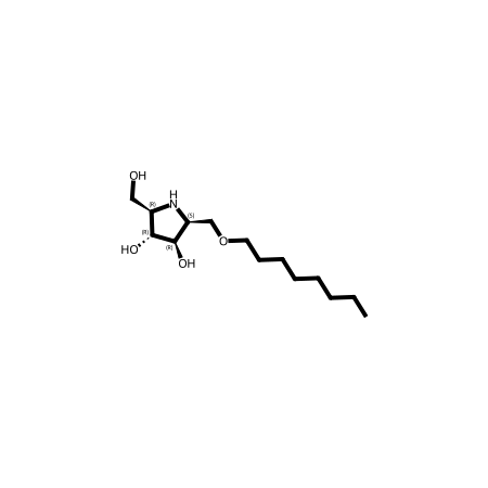 CCCCCCCCOC[C@@H]1N[C@H](CO)[C@@H](O)[C@@H]1O